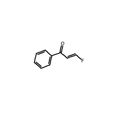 O=C(C=CF)c1ccccc1